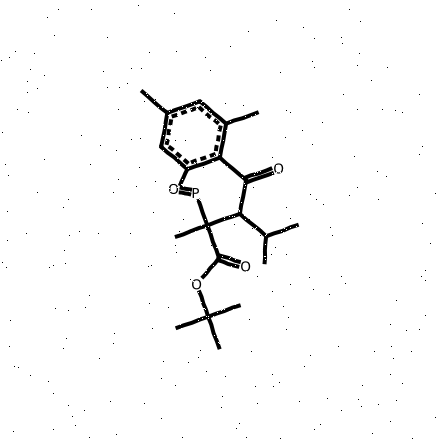 Cc1cc(C)c(C(=O)C(C(C)C)C(C)(P=O)C(=O)OC(C)(C)C)c(C)c1